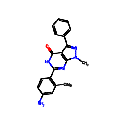 COc1cc(N)ccc1-c1nc2c(c(-c3ccccc3)nn2C)c(=O)[nH]1